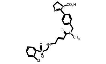 CN(Cc1ccc(C2=NCCN2C(=O)O)cc1)C(=O)/C=C/CNCS(=O)(=O)c1ccccc1Cl